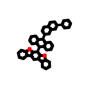 c1ccc(-c2ccc3ccc(-c4c5ccccc5c(-c5c6oc7ccccc7c6cc6c5oc5ccccc56)c5ccccc45)cc3c2)cc1